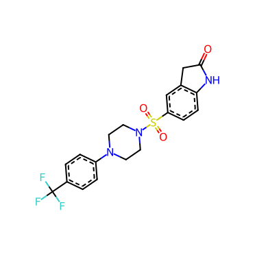 O=C1Cc2cc(S(=O)(=O)N3CCN(c4ccc(C(F)(F)F)cc4)CC3)ccc2N1